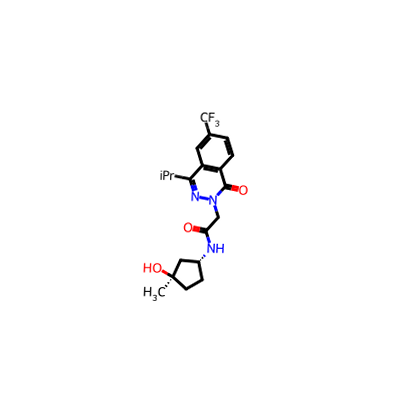 CC(C)c1nn(CC(=O)N[C@@H]2CC[C@@](C)(O)C2)c(=O)c2ccc(C(F)(F)F)cc12